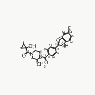 C[C@H]1CN(C(=O)C2(O)CC2)CCN1C(=O)c1ccc(C2Nc3ccc(F)cc3O2)cc1